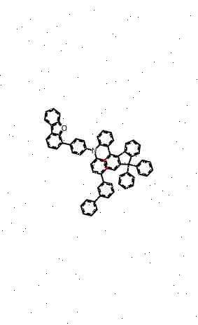 c1ccc(-c2cccc(-c3ccc(N(c4ccc(-c5cccc6c5oc5ccccc56)cc4)c4ccccc4-c4cccc5c4-c4ccccc4C5(c4ccccc4)c4ccccc4)cc3)c2)cc1